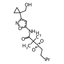 CC(C)CCS(=O)(=O)C(C)(C)C(=O)Nc1cc(C2(CO)CC2)no1